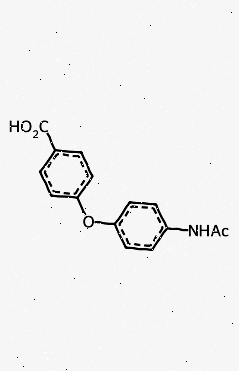 CC(=O)Nc1ccc(Oc2ccc(C(=O)O)cc2)cc1